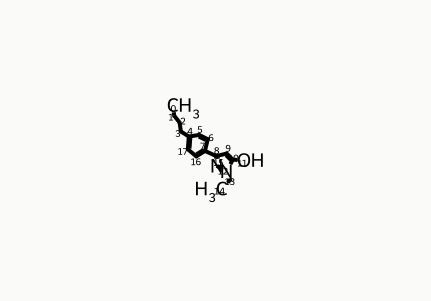 CCCCc1ccc(-c2cc(O)n(CC)n2)cc1